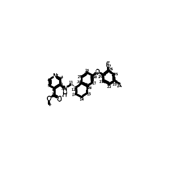 COC(=O)c1ccncc1NC[C@H]1CCCc2cc(Oc3ccc(C)cc3F)ccc21